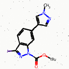 Cn1cc(-c2ccc3c(I)nn(C(=O)OC(C)(C)C)c3c2)cn1